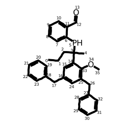 CCCC(C)(Pc1ccccc1C=O)c1cc(Cc2ccccc2)cc(Cc2ccccc2)c1OC